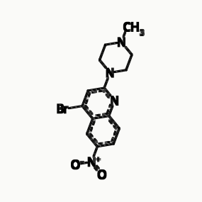 CN1CCN(c2cc(Br)c3cc([N+](=O)[O-])ccc3n2)CC1